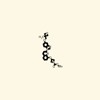 CC1(COc2ccc3c(c2)ncn3-c2ccc3cccc(OC4CN(C(=O)OC(C)(C)C)C4)c3n2)COC1